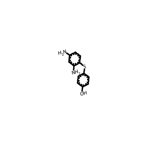 Nc1ccc(Sc2ccc(O)cc2)c(N)c1